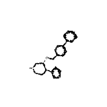 c1ccc(-c2ccc(CO[C@H]3CNCC[C@@H]3c3ccoc3)cc2)cc1